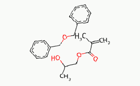 C=C(C)C(=O)OCC(C)O.c1ccc(COCc2ccccc2)cc1